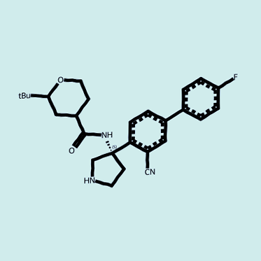 CC(C)(C)C1C[C](C(=O)N[C@]2(c3ccc(-c4ccc(F)cc4)cc3C#N)CCNC2)CCO1